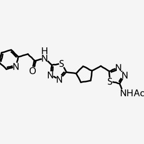 CC(=O)Nc1nnc(CC2CCC(c3nnc(NC(=O)Cc4ccccn4)s3)C2)s1